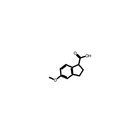 COc1ccc2c(c1)CCC2C(=O)O